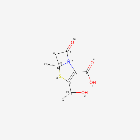 C[C@@H](O)C1=C(C(=O)O)N2C(=O)C[C@@H]2S1